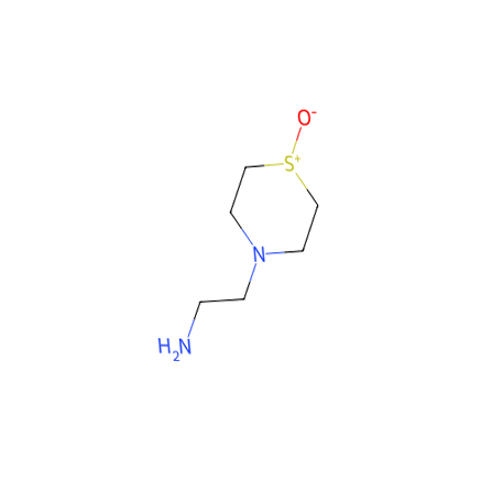 NCCN1CC[S+]([O-])CC1